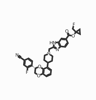 N#Cc1ccc([C@H]2COc3cccc(C4CCN(Cc5nc6ccc(C(=O)OC7(CF)CC7)cc6[nH]5)CC4)c3O2)c(F)c1